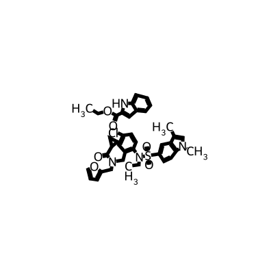 CCN(c1ccc(Cl)cc1CN(Cc1ccco1)C(=O)C1CC1)S(=O)(=O)c1ccc2c(c1)c(C)cn2C.CCOC(=O)c1cc2ccccc2[nH]1